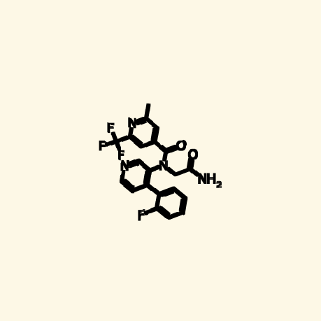 Cc1cc(C(=O)N(CC(N)=O)c2cnccc2-c2ccccc2F)cc(C(F)(F)F)n1